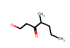 CCCC(C)C(=O)CC[O]